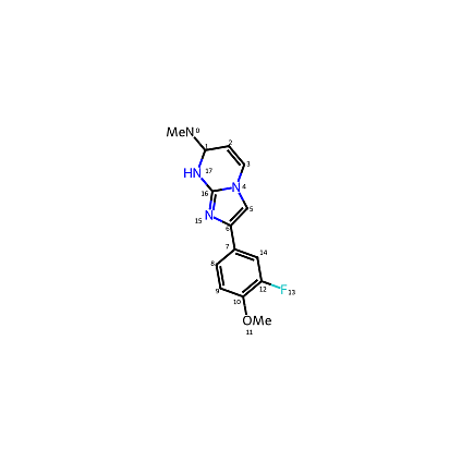 CNC1C=Cn2cc(-c3ccc(OC)c(F)c3)nc2N1